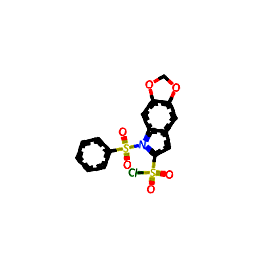 O=S(=O)(Cl)c1cc2cc3c(cc2n1S(=O)(=O)c1ccccc1)OCO3